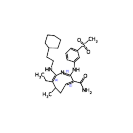 CC/C1=C(NCCC2CCCCC2)/N=C(Nc2cccc(S(C)(=O)=O)c2)\C(C(N)=O)=C\CC1C